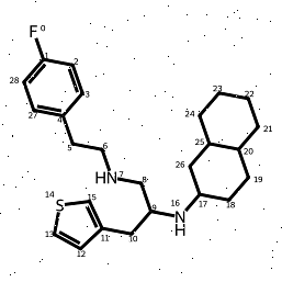 Fc1ccc(CCNCC(Cc2ccsc2)NC2CCC3CCCCC3C2)cc1